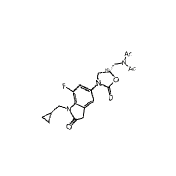 CC(=O)N(C[C@H]1CN(c2cc(F)c3c(c2)CC(=O)N3CC2CC2)C(=O)O1)C(C)=O